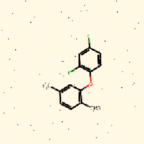 O=Cc1ccc(C(F)(F)F)cc1Oc1ccc(F)cc1F